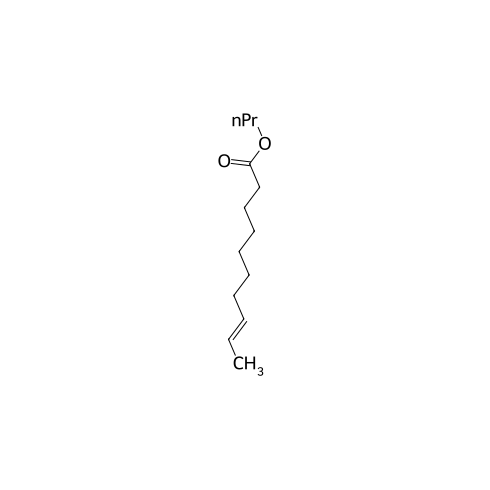 CC=CCCCCCCC(=O)OCCC